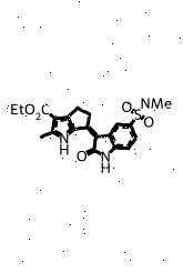 CCOC(=O)c1c(C)[nH]c2c1CC/C2=C1/C(=O)Nc2ccc(S(=O)(=O)NC)cc21